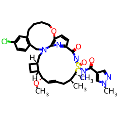 CO[C@H]1/C=C/C[C@H](C)[C@@H](C)S(=O)(NC(=O)c2cnn(C)c2)=NC(=O)c2ccc3c(n2)N(Cc2ccc(Cl)cc2CCCCO3)C[C@@H]2CC[C@H]21